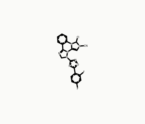 N#CN1C=C2N(c3ccccc3C3=NCN(c4noc(-c5ccc(F)cc5F)n4)N23)C1Cl